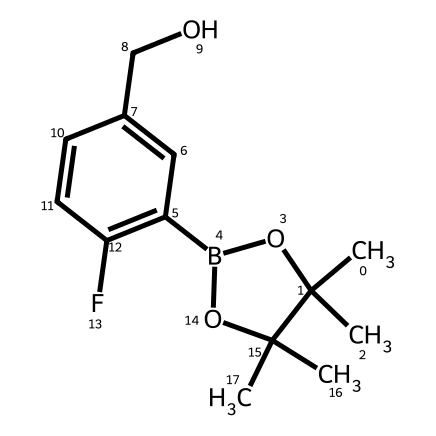 CC1(C)OB(c2cc(CO)ccc2F)OC1(C)C